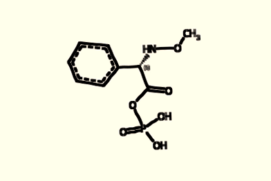 CON[C@H](C(=O)OP(=O)(O)O)c1ccccc1